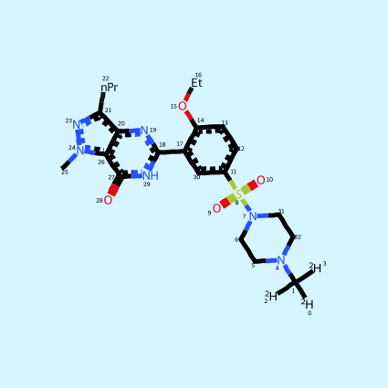 [2H]C([2H])([2H])N1CCN(S(=O)(=O)c2ccc(OCC)c(-c3nc4c(CCC)nn(C)c4c(=O)[nH]3)c2)CC1